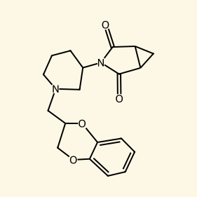 O=C1C2CC2C(=O)N1C1CCCN(CC2COc3ccccc3O2)C1